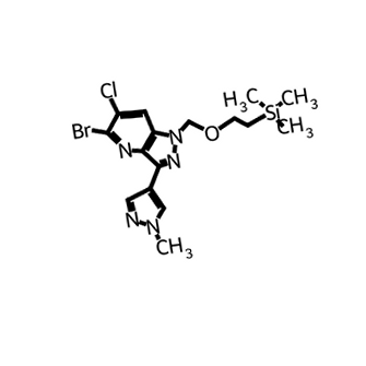 Cn1cc(-c2nn(COCC[Si](C)(C)C)c3cc(Cl)c(Br)nc23)cn1